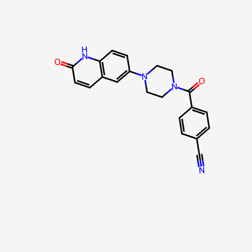 N#Cc1ccc(C(=O)N2CCN(c3ccc4[nH]c(=O)ccc4c3)CC2)cc1